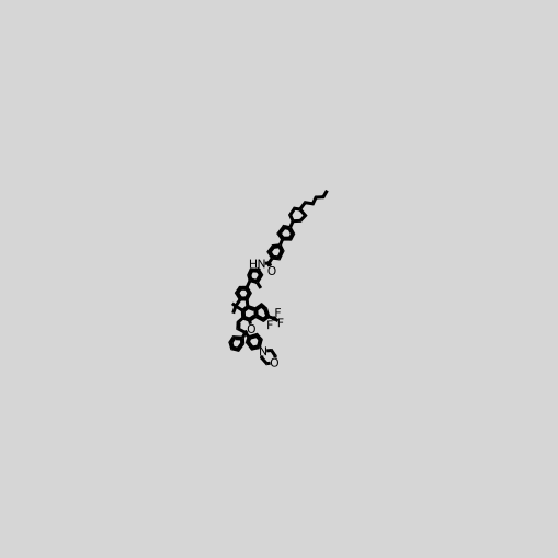 CCCCCC1CCC(c2ccc(-c3ccc(C(=O)Nc4ccc(-c5ccc6c(c5)-c5c(c7c(c8cc(C(F)(F)F)ccc58)OC(c5ccccc5)(c5ccc(N8CCOCC8)cc5)C=C7)C6(C)C)c(C)c4)cc3)cc2)CC1